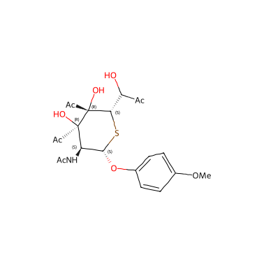 COc1ccc(O[C@H]2S[C@@H](C(O)C(C)=O)[C@](O)(C(C)=O)[C@@](O)(C(C)=O)[C@@H]2NC(C)=O)cc1